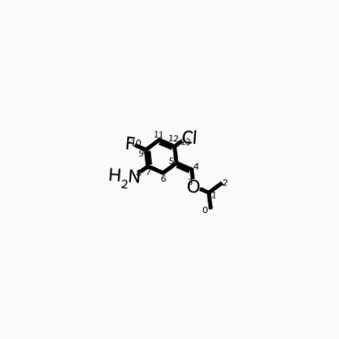 CC(C)OC=C1CC(N)=C(F)C=C1Cl